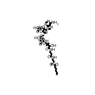 CCCCCC(=O)[S+]([O-])CCNC(=O)CCNC(=O)C(O)C(C)(C)COP(=O)(O)OP(=O)(O)OC[C@H]1O[C@@H](n2cnc3c(N)ncnc32)[C@H](O)[C@@H]1OP(=O)(O)O